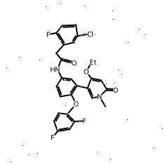 CCOc1cc(=O)n(C)cc1-c1cc(NC(=O)Cc2cc(Cl)ccc2F)ccc1Oc1ccc(F)cc1F